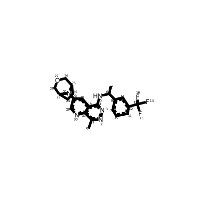 Cc1nnc(NC(C)c2cccc(C(F)(F)F)c2)c2cc(N3C4CCC3COC4)cnc12